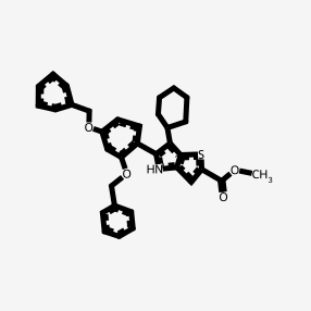 COC(=O)c1cc2[nH]c(-c3ccc(OCc4ccccc4)cc3OCc3ccccc3)c(C3CCCCC3)c2s1